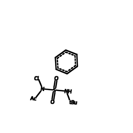 CC(=O)N(Cl)S(=O)(=O)NC(C)(C)C.c1ccccc1